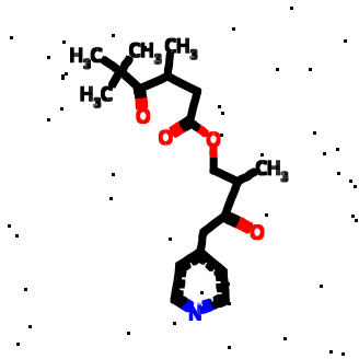 CC(COC(=O)CC(C)C(=O)C(C)(C)C)C(=O)Cc1ccncc1